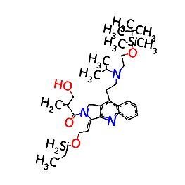 C=C(CO)C(=O)N1Cc2c(nc3ccccc3c2CCN(CCO[Si](C)(C)C(C)(C)C)C(C)C)/C1=C/CO[SiH2]CC